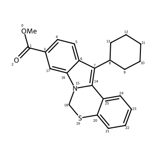 COC(=O)c1ccc2c(C3CCCCC3)c3n(c2c1)CSc1ccccc1-3